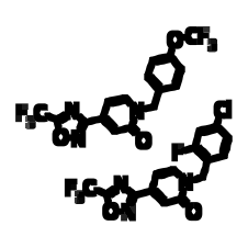 O=c1cc(-c2noc(C(F)(F)F)n2)ccn1Cc1ccc(Cl)cc1F.O=c1cc(-c2noc(C(F)(F)F)n2)ccn1Cc1ccc(OC(F)(F)F)cc1